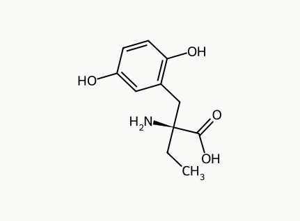 CC[C@](N)(Cc1cc(O)ccc1O)C(=O)O